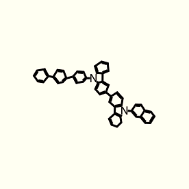 C1=Cc2c(n(-c3ccc4ccccc4c3)c3ccc(-c4ccc5c(c4)c4ccccc4n5-c4ccc(-c5ccc(-c6ccccc6)cc5)cc4)cc23)CC1